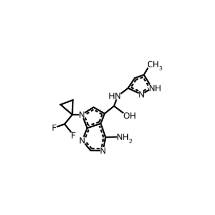 Cc1cc(NC(O)c2cn(C3(C(F)F)CC3)c3ncnc(N)c23)n[nH]1